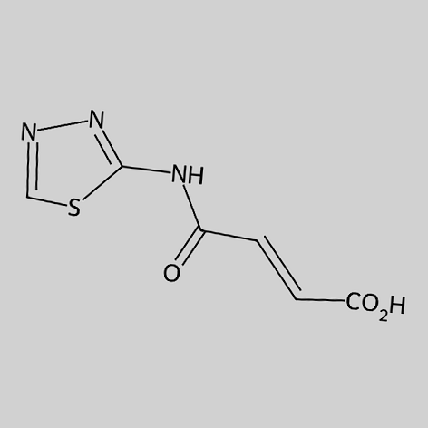 O=C(O)C=CC(=O)Nc1nncs1